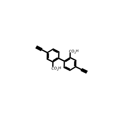 C#Cc1ccc(-c2ccc(C#C)cc2C(=O)O)c(C(=O)O)c1